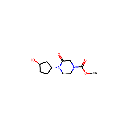 CC(C)(C)OC(=O)N1CCN([C@@H]2CC[C@@H](O)C2)C(=O)C1